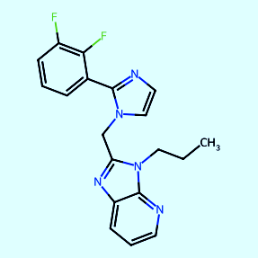 CCCn1c(Cn2ccnc2-c2cccc(F)c2F)nc2cccnc21